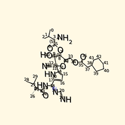 CC(C)[C@H](N)C(=O)O[C@H]1[C@@H](O)[C@](C#N)(c2ccc(/C(=N\C=N)NC(=O)[C@H](C)C(C)C)[nH]2)O[C@@H]1COC(=O)CC1CCCCC1